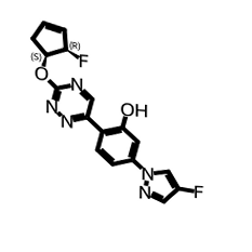 Oc1cc(-n2cc(F)cn2)ccc1-c1cnc(O[C@H]2CC=C[C@H]2F)nn1